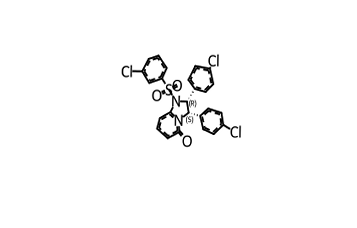 O=c1cccc2n1[C@@H](c1ccc(Cl)cc1)[C@@H](c1ccc(Cl)cc1)N2S(=O)(=O)c1cccc(Cl)c1